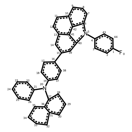 Fc1ccc(-n2c3cccc4ccc5cc(-c6ccc(N(c7ccccc7)c7cccc8ccccc78)cc6)cc2c5c43)cc1